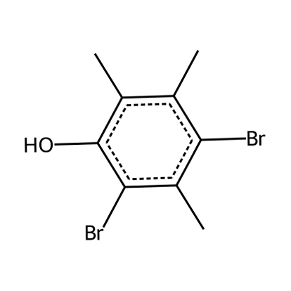 Cc1c(C)c(Br)c(C)c(Br)c1O